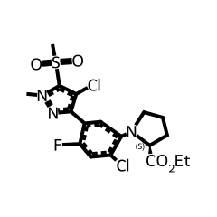 CCOC(=O)[C@@H]1CCCN1c1cc(-c2nn(C)c(S(C)(=O)=O)c2Cl)c(F)cc1Cl